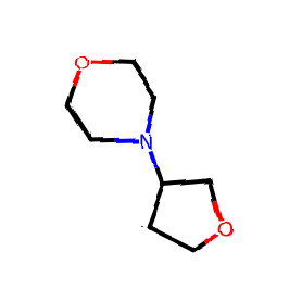 [CH]1COCC1N1CCOCC1